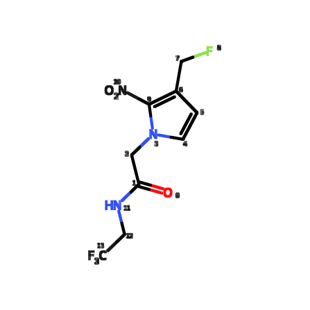 O=C(Cn1ccc(CF)c1[N+](=O)[O-])NCC(F)(F)F